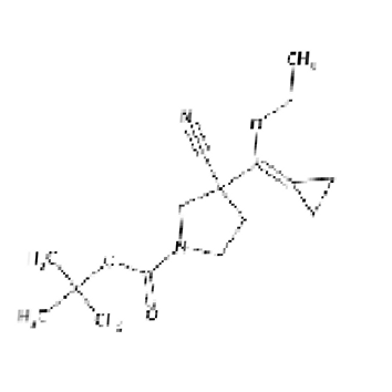 CCOC(=C1CC1)C1(C#N)CCN(C(=O)OC(C)(C)C)C1